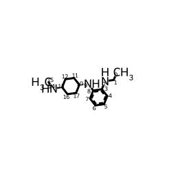 CCNc1ccccc1N[C@H]1CC[C@H](NC)CC1